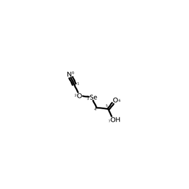 N#CO[Se]CC(=O)O